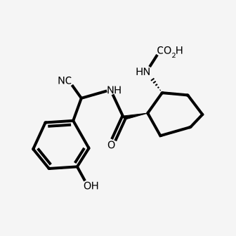 N#CC(NC(=O)[C@@H]1CCCC[C@H]1NC(=O)O)c1cccc(O)c1